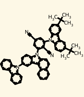 CC(C)(C)c1ccc2c(c1)c1cc(C(C)(C)C)ccc1n2-c1cc(C#N)cc(-n2c3ccc(-n4c5ccccc5c5ccccc54)cc3c3c4ccccc4ccc32)c1C#N